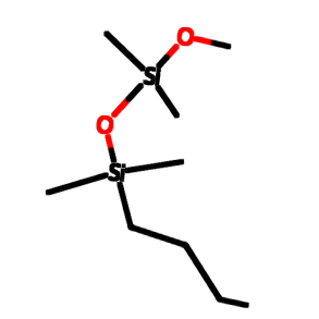 CCCC[Si](C)(C)O[Si](C)(C)OC